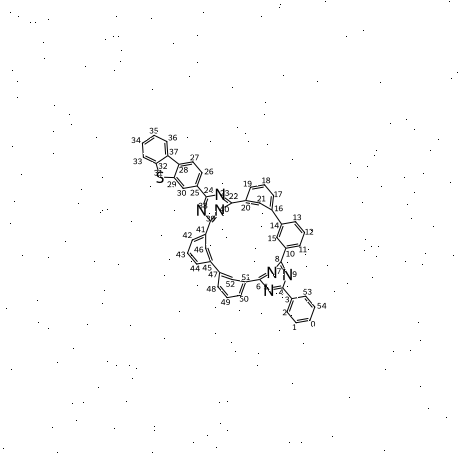 c1ccc(-c2nc3nc(n2)c2cccc(c2)c2cccc(c2)c2nc(-c4ccc5c(c4)sc4ccccc45)nc(n2)c2cccc(c2)c2cccc3c2)cc1